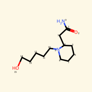 NC(=O)CC1CCCCN1CCCCCO